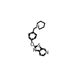 c1cc2nc(Oc3ccc(CN4CCCCC4)cc3)sc2cn1